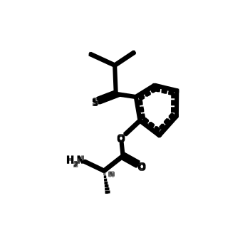 CC(C)C(=S)c1ccccc1OC(=O)[C@H](C)N